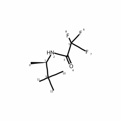 C[C@@H](NC(=O)C(F)(F)F)C(C)(C)C